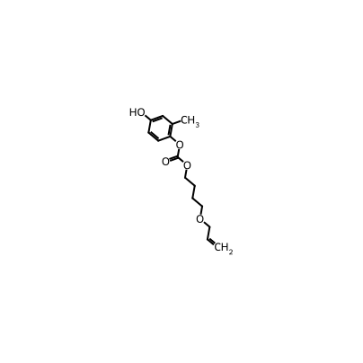 C=CCOCCCCOC(=O)Oc1ccc(O)cc1C